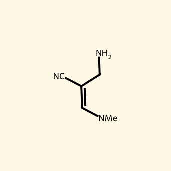 CN/C=C(/C#N)CN